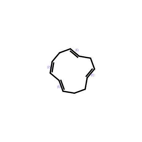 C1=C\C/C=C/C/C=C/CC/C=C/1